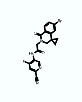 N#Cc1cc(F)c(NC(=O)CN2CC3(CC3)c3cc(Br)ccc3C2=O)cn1